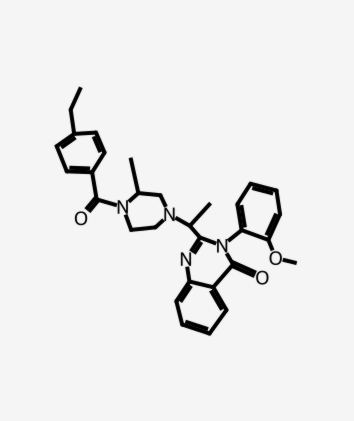 CCc1ccc(C(=O)N2CCN(C(C)c3nc4ccccc4c(=O)n3-c3ccccc3OC)CC2C)cc1